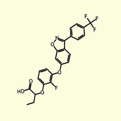 CCC(Oc1cccc(Oc2ccc3c(-c4ccc(C(F)(F)F)cc4)noc3c2)c1F)C(=O)O